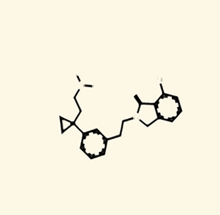 CN(C)CCC1(c2cccc(CCN3Cc4cccc(N)c4C3=O)c2)CC1